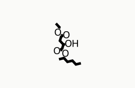 CCCCC(C)OC(=O)C(O)CC(=O)OCC